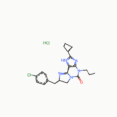 CCCN1C(=O)N2CC(Cc3ccc(Cl)cc3)N=C2c2[nH]c(C3CCC3)nc21.Cl